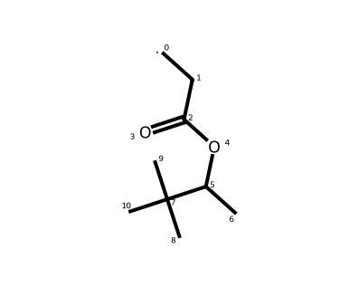 [CH2]CC(=O)OC(C)C(C)(C)C